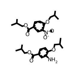 CC(C)COC(=O)c1ccc(OCC(C)C)c(N)c1.CC(C)COC(=O)c1ccc(OCC(C)C)c([N+](=O)[O-])c1